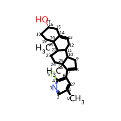 Cc1cnc(F)c(C2=CCC3C4CC=C5C[C@@H](O)CC[C@]5(C)C4CC[C@]23C)c1